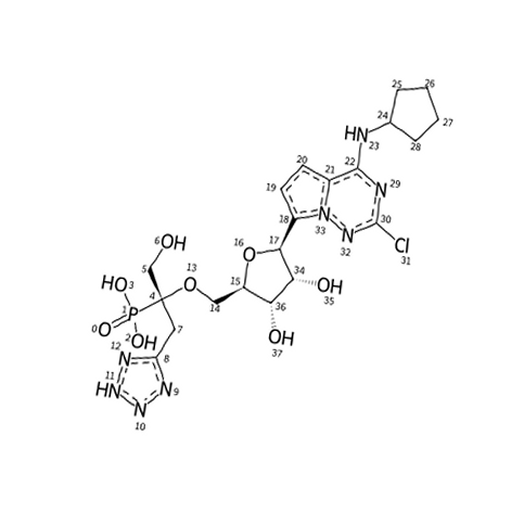 O=P(O)(O)[C@@](CO)(Cc1nn[nH]n1)OC[C@H]1O[C@@H](c2ccc3c(NC4CCCC4)nc(Cl)nn23)[C@H](O)[C@@H]1O